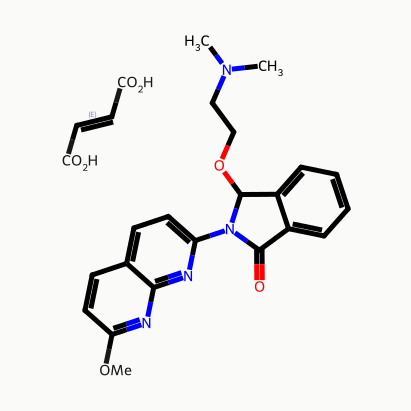 COc1ccc2ccc(N3C(=O)c4ccccc4C3OCCN(C)C)nc2n1.O=C(O)/C=C/C(=O)O